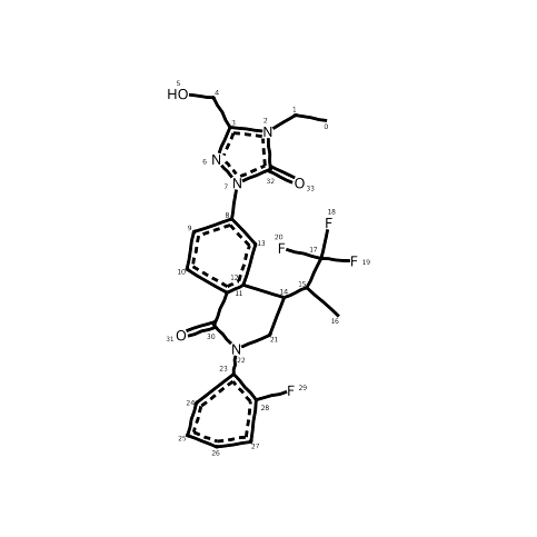 CCn1c(CO)nn(-c2ccc3c(c2)C(C(C)C(F)(F)F)CN(c2ccccc2F)C3=O)c1=O